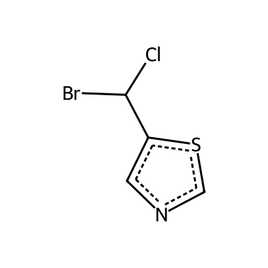 ClC(Br)c1cncs1